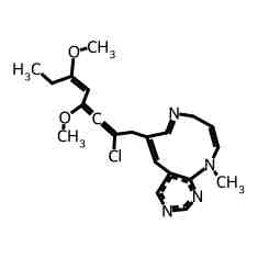 CC/C(=C\C(=C=C(Cl)CC1=C/c2cncnc2N(C)C=CC\N=C\1)OC)OC